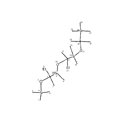 CCC(C)(O[Si](C)(C)C)[SiH](C)OC(C)(CC)[Si](C)(C)OC(C)(C)[Si](C)(C)C